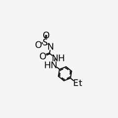 CCc1ccc(NNC(=O)N=S(=O)=O)cc1